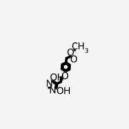 CCOC(=O)Cc1ccc(OCCc2c(O)ncnc2O)cc1